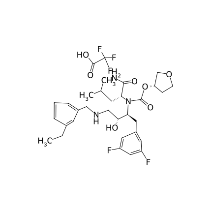 CCc1cccc(CNC[C@@H](O)[C@H](Cc2cc(F)cc(F)c2)N(C(=O)O[C@H]2CCOC2)[C@H](CC(C)C)C(N)=O)c1.O=C(O)C(F)(F)F